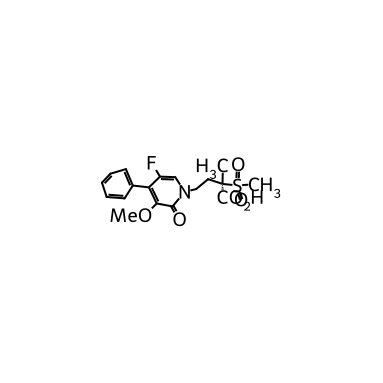 COc1c(-c2ccccc2)c(F)cn(CC[C@](C)(C(=O)O)S(C)(=O)=O)c1=O